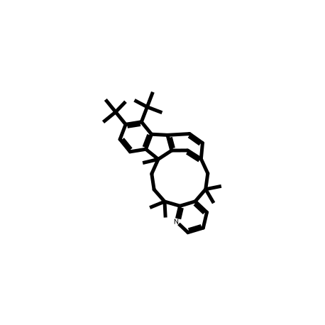 CC(C)(C)c1ccc2c(c1C(C)(C)C)-c1ccc3cc1C2(C)CCC(C)(C)c1ncccc1C(C)(C)C3